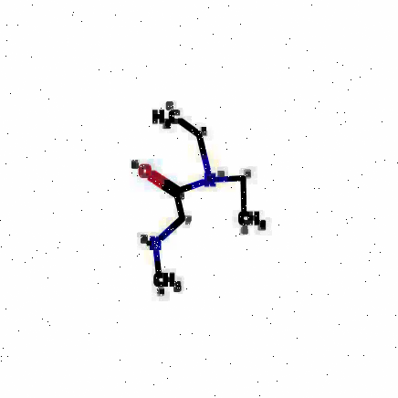 CCN(CC)C(=O)C[N]C